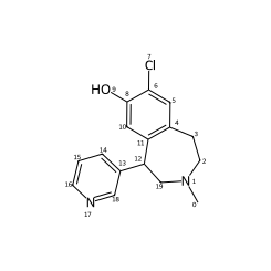 CN1CCc2cc(Cl)c(O)cc2C(c2cccnc2)C1